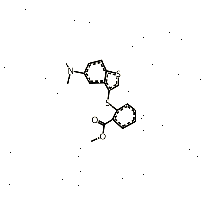 COC(=O)c1ccccc1Sc1csc2ccc(N(C)C)cc12